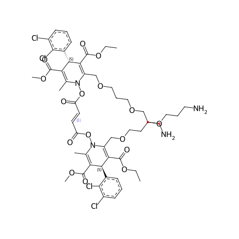 CCOC(=O)C1=C(COCCCOCCCN)N(OC(=O)/C=C/C(=O)ON2C(C)=C(C(=O)OC)[C@H](c3cccc(Cl)c3Cl)C(C(=O)OCC)=C2COCCCOCCCN)C(C)=C(C(=O)OC)[C@@H]1c1cccc(Cl)c1Cl